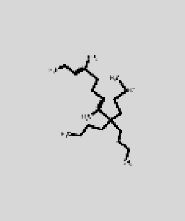 CCCCC(CCCC)(CCCC)C(C)=CCCC(C)=CCN.Cl